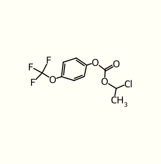 CC(Cl)OC(=O)Oc1ccc(OC(F)(F)F)cc1